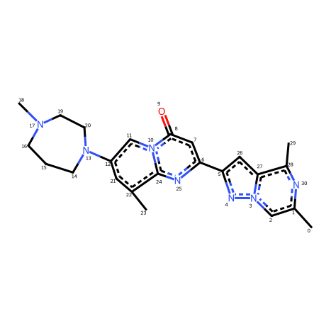 Cc1cn2nc(-c3cc(=O)n4cc(N5CCCN(C)CC5)cc(C)c4n3)cc2c(C)n1